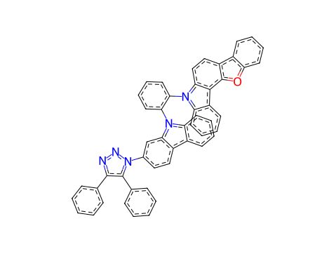 c1ccc(-c2nnn(-c3ccc4c5ccccc5n(-c5ccccc5-n5c6ccccc6c6c7oc8ccccc8c7ccc65)c4c3)c2-c2ccccc2)cc1